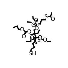 CCCOC(=O)OCC(CC)(CO[Si](CCCSC(C)=O)(OCC)OCC)C(CCCCS)(OCC)O[SiH2]OCC